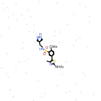 COc1ccc(-c2sc(NC(C)=O)nc2C)cc1S(=O)(=O)NCCc1cn[nH]c1